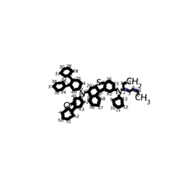 C=C/C(=C\C=C/C)N(c1ccccc1)c1ccc2sc3cc(N(c4ccc(-c5ccccc5)c(-c5ccccc5)c4)c4ccc5c(c4)oc4ccccc45)c4ccccc4c3c2c1